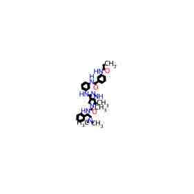 C=CC(=O)Nc1cccc(C(=O)Nc2cccc(Nc3n[nH]c4c3CN(C(=O)NC(CN(C)C)c3ccccc3)C4(C)C)c2)c1